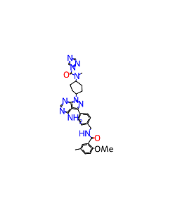 COc1ccc(C)cc1C(=O)NCc1ccc(-c2nn(C3CCC(N(C)C(=O)n4cncn4)CC3)c3ncnc(N)c23)cc1